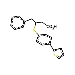 O=C(O)CC(Cc1ccccc1)Sc1ccc(-c2cccs2)cc1